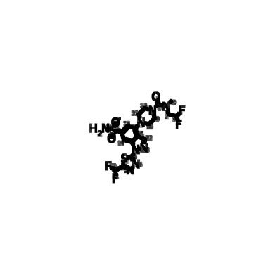 CN(CC(F)F)C(=O)N1CCN(c2cc(S(N)(=O)=O)cc3c2cnn3-c2nnc(C(F)F)s2)CC1